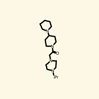 CC(C)N1CCN(CC(=O)N2CCC(N3CCCCC3)CC2)CC1